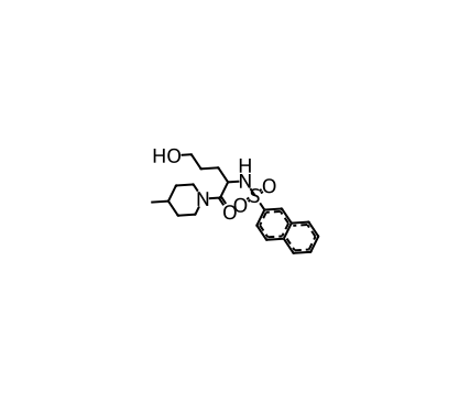 CC1CCN(C(=O)C(CCCO)NS(=O)(=O)c2ccc3ccccc3c2)CC1